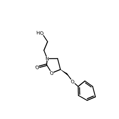 O=C1O[C@H](COc2ccccc2)CN1CCO